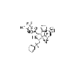 CC(C)(CC1NC(C(=O)O)C(c2cccc(Cl)c2F)C1(C#N)c1ccc(Cl)cc1F)c1ccccc1.O=C(O)C(F)(F)F